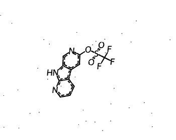 O=S(=O)(Oc1cc2c(cn1)[nH]c1ncccc12)C(F)(F)F